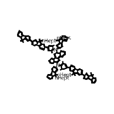 CCCCCCCC1(CCCCCCC)c2ccccc2-c2ccc(N(c3c(C)cc(-c4ccc5c(c4)C(C)(C)c4cc(-c6ccc7c(c6)C(C)(C)c6ccccc6-7)ccc4-5)cc3C)c3cc4c5ccccc5c(N(c5ccc6c(c5)C(CCCCCCC)(CCCCCCC)c5ccccc5-6)c5c(C)cc(-c6ccc7c(c6)C(C)(C)c6cc(-c8ccc9c(c8)C(C)(C)c8ccccc8-9)ccc6-7)cc5C)cc4c4ccccc34)cc21